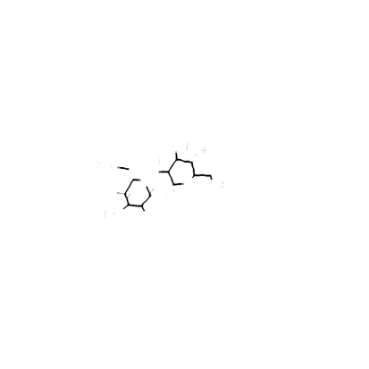 CC(=O)OCC1O[C@H](O[C@H]2O[C@@H](COC(C)=O)[C@H](O)C(O)C2O)C(O)C(O)[C@@H]1O